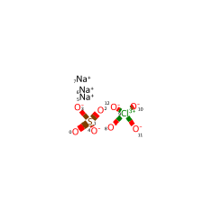 O=S(=O)([O-])[O-].[Na+].[Na+].[Na+].[O-][Cl+3]([O-])([O-])[O-]